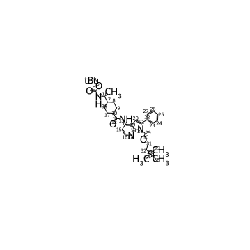 CC(NC(=O)OC(C)(C)C)C1CCC(C(=O)Nc2ccnc3c2cc(-c2ccccc2)n3COCC[Si](C)(C)C)CC1